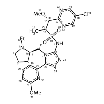 CCN1CCC[C@@H]1Cn1c(NS(=O)(=O)[C@@H](C)[C@H](OC)c2ncc(Cl)cn2)nnc1-c1cccc(OC)n1